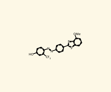 COc1cccc2sc(-c3ccc(N=Nc4ccc(O)cc4C(F)(F)F)cc3)nc12